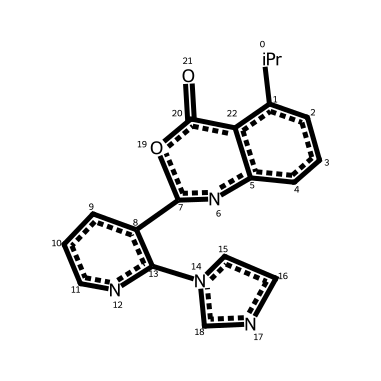 CC(C)c1cccc2nc(-c3cccnc3-n3ccnc3)oc(=O)c12